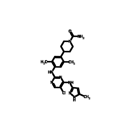 Cc1cc(Nc2nc(Nc3cc(C)c(C4CCN(C(N)=O)CC4)cc3C)ncc2Cl)n[nH]1